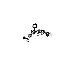 O=C(Nc1cn(C2CN(C(=O)C3CC3)C2)nc1-c1ccccn1)c1ccc(-c2cn[nH]c2)o1